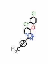 CC12CCC(c3nnc4c(Oc5ccc(Cl)cc5Cl)cccn34)(CC1)CC2